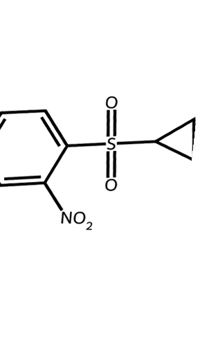 O=[N+]([O-])c1ccccc1S(=O)(=O)C1CC1